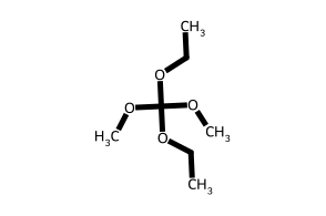 CCOC(OC)(OC)OCC